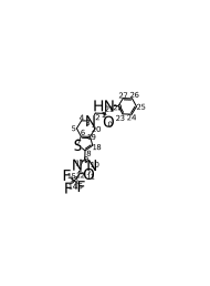 O=C(CN1CCc2sc(-c3noc(C(F)(F)F)n3)cc2C1)Nc1ccccc1